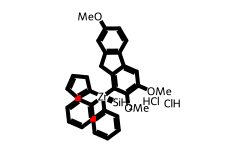 COc1ccc2c(c1)Cc1c-2cc(OC)c(OC)[c]1[Zr](=[SiH2])([C]1=CC=CC1)([c]1ccccc1)[c]1ccccc1.Cl.Cl